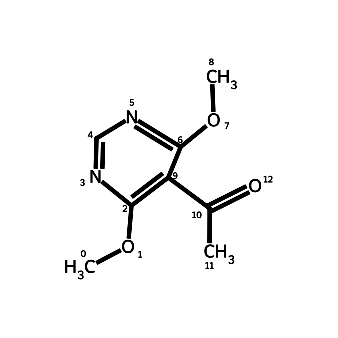 COc1ncnc(OC)c1C(C)=O